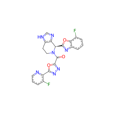 O=C(c1nnc(-c2ncccc2F)o1)N1CCc2[nH]cnc2[C@H]1c1nc2cccc(F)c2o1